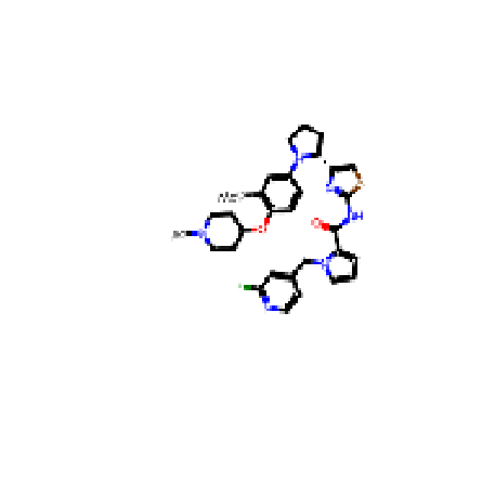 COc1cc(N2CCC[C@@H]2c2csc(NC(=O)c3cccn3Cc3ccnc(F)c3)n2)ccc1OC1CCN(C(C)=O)CC1